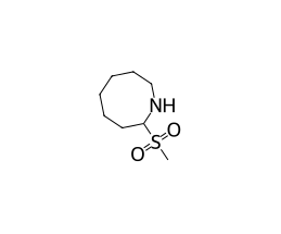 CS(=O)(=O)C1CCCCCCN1